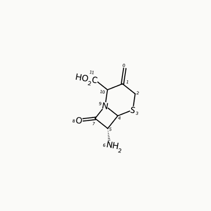 C=C1CSC2[C@H](N)C(=O)N2C1C(=O)O